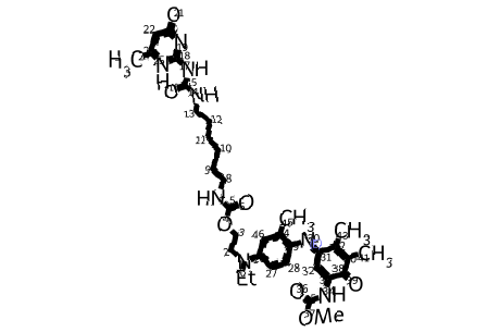 CCN(CCOC(=O)NCCCCCCNC(=O)Nc1nc(=O)cc(C)[nH]1)c1ccc(/N=C2\C=C(NC(=O)OC)C(=O)C(C)=C2C)c(C)c1